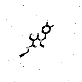 C#CCNC(=O)/C(=C/N)C(=O)N(C=C)Cc1ccc(F)c(F)c1